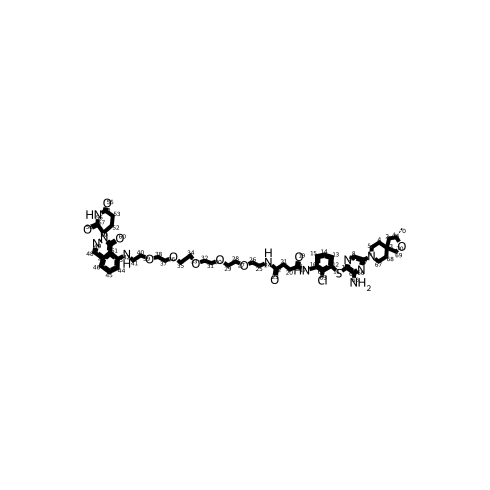 C[C@H]1CC2(CCN(c3cnc(Sc4cccc(NC(=O)CCC(=O)NCCOCCOCCOCCOCCOCCNc5cccc6cnn(C7CCC(=O)NC7=O)c(=O)c56)c4Cl)c(N)n3)CC2)CO1